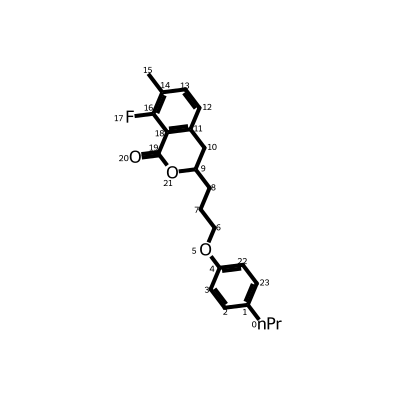 CCCc1ccc(OCCCC2Cc3ccc(C)c(F)c3C(=O)O2)cc1